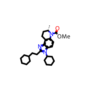 COC(=O)N1c2ccc3c(nc(CCC4CCCCC4)n3C3CCCCC3)c2CC[C@@H]1C